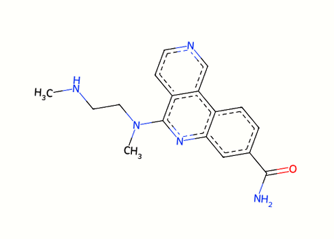 CNCCN(C)c1nc2cc(C(N)=O)ccc2c2cnccc12